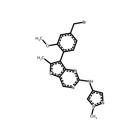 COc1cc(CBr)ccc1-c1c(C)sc2cnc(Nc3cnn(C)c3)nc12